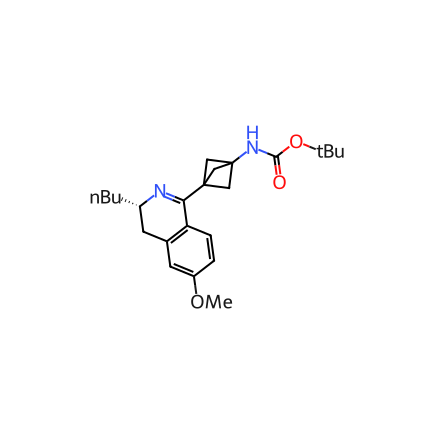 CCCC[C@H]1Cc2cc(OC)ccc2C(C23CC(NC(=O)OC(C)(C)C)(C2)C3)=N1